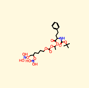 CC(OC(=O)OCCCCC(CON(O)O)ON(O)O)OC(=O)C(CCc1ccccc1)NC(=O)OC(C)(C)C